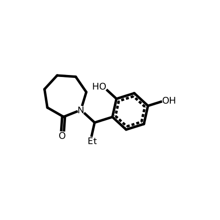 CCC(c1ccc(O)cc1O)N1CCCCCC1=O